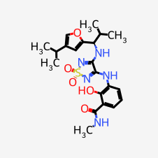 CNC(=O)c1cccc(NC2=NS(=O)(=O)N=C2N[C@@H](c2cc(C(C)C)co2)C(C)C)c1O